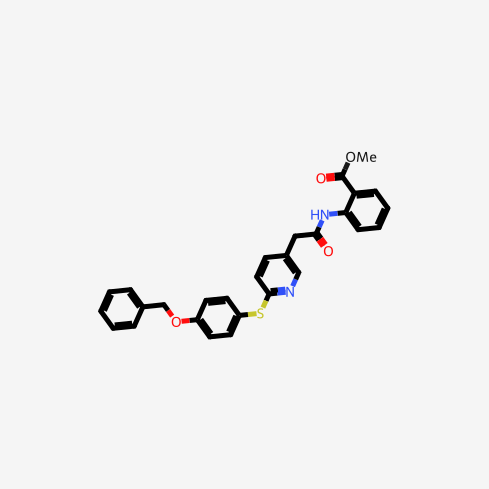 COC(=O)c1ccccc1NC(=O)Cc1ccc(Sc2ccc(OCc3ccccc3)cc2)nc1